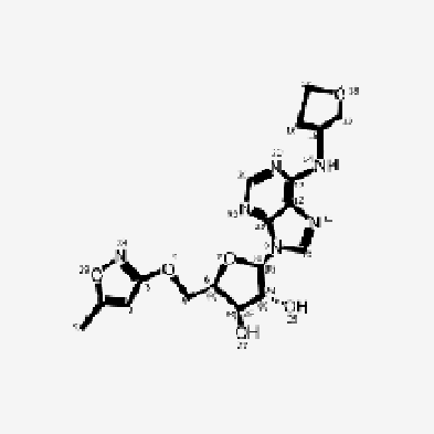 Cc1cc(OC[C@H]2O[C@@H](n3cnc4c(NC5CCOC5)ncnc43)[C@H](O)[C@H]2O)no1